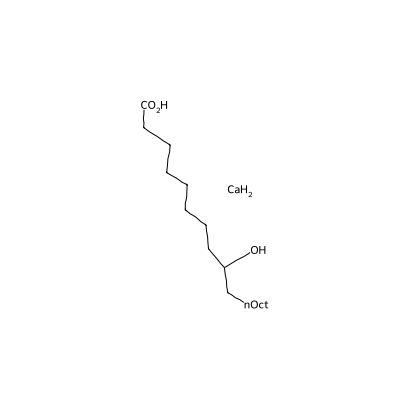 CCCCCCCCCC(O)CCCCCCCC(=O)O.[CaH2]